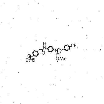 CCS(=O)(=O)c1ccc(CC(=O)Nc2ccc(N3CC(c4ccc(C(F)(F)F)cc4)C[C@@H]3COC)cc2)cc1